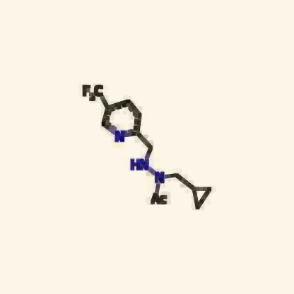 CC(=O)N(CC1CC1)NCc1ccc(C(F)(F)F)cn1